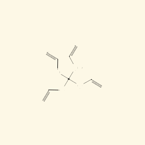 C=COC(OC=C)(OC=C)OC=C